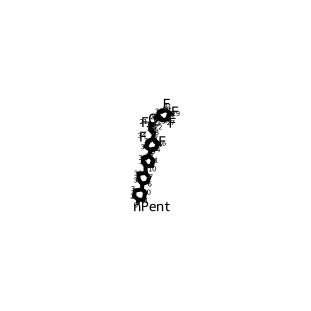 CCCCCC1CCC(C2CCC(c3ccc(-c4cc(F)c(/C=C/C(F)(F)Oc5cc(F)c(F)c(F)c5)c(F)c4)cc3)CC2)CC1